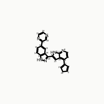 C1=CC(c2ccnc3[nH]c(-c4n[nH]c5ccc(-c6cnccn6)cc45)cc23)=CC1